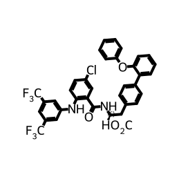 O=C(N[C@@H](Cc1ccc(-c2ccccc2Oc2ccccc2)cc1)C(=O)O)c1cc(Cl)ccc1Nc1cc(C(F)(F)F)cc(C(F)(F)F)c1